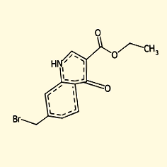 CCOC(=O)c1c[nH]c2cc(CBr)ccc2c1=O